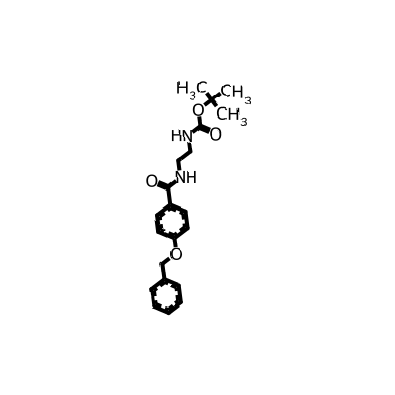 CC(C)(C)OC(=O)NCCNC(=O)c1ccc(OCc2ccccc2)cc1